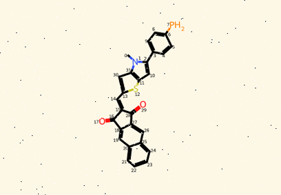 Cn1c(-c2ccc(P)cc2)cc2sc(C=C3C(=O)c4cc5ccccc5cc4C3=O)cc21